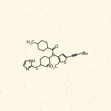 CC1CCC(C(=O)N(c2cc(C#CC(C)(C)C)sc2C(=O)O)C2CCC(Sc3ncc[nH]3)CC2)CC1